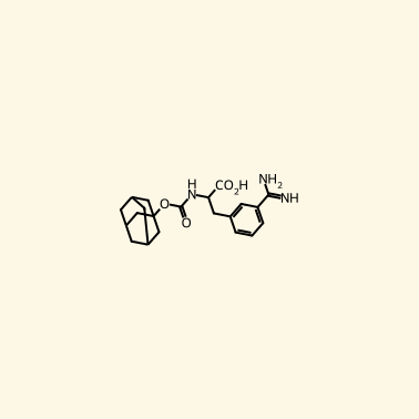 N=C(N)c1cccc(CC(NC(=O)OC23CC4CC(CC(C4)C2)C3)C(=O)O)c1